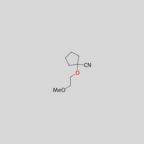 COCCOC1(C#N)CCCC1